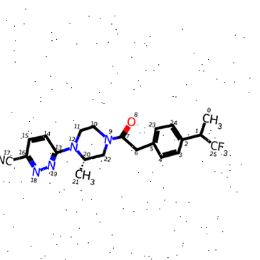 CC(c1ccc(CC(=O)N2CCN(c3ccc(C#N)nn3)[C@@H](C)C2)cc1)C(F)(F)F